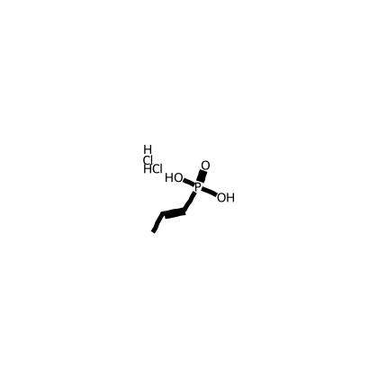 CC=CP(=O)(O)O.Cl.Cl